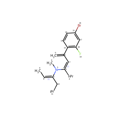 C=C(/C=C(/CCC)N(C)/C(=C\C)CC(C)C)c1ccc(Br)cc1F